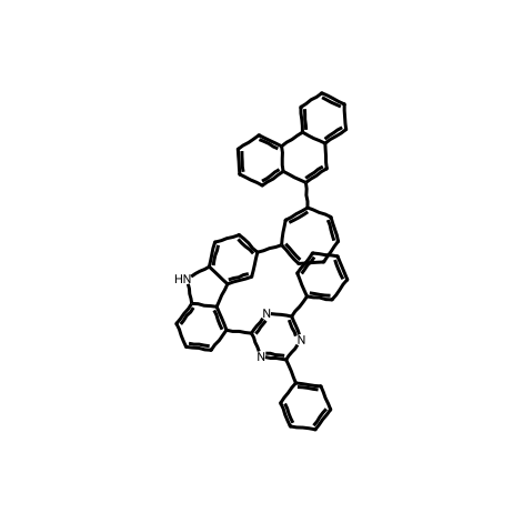 C1=CC(c2cc3ccccc3c3ccccc23)=CC(c2ccc3[nH]c4cccc(-c5nc(-c6ccccc6)nc(-c6ccccc6)n5)c4c3c2)=CC1